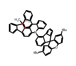 CC(C)(C)c1ccc2c(c1)C1(c3cc(C(C)(C)C)ccc3O2)c2ccccc2-c2c(N(c3ccc4c(c3)C(C)(C)c3ccccc3-4)c3ccccc3-c3cccc4ccccc34)cccc21